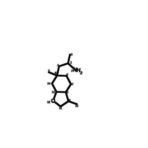 CC(N)CC1(C)CCC2C(C)COC2C1